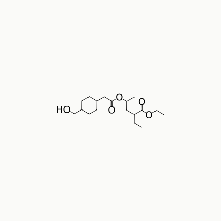 CCOC(=O)C(CC)CC(C)OC(=O)CC1CCC(CO)CC1